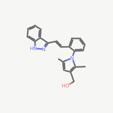 Cc1cc(CO)c(C)n1-c1ccccc1/C=C/c1n[nH]c2ccccc12